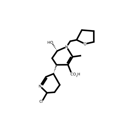 CC1=C(C(=O)O)C([C@H]2C=NC(Cl)CC2)C[C@H](O)N1CC1CCCO1